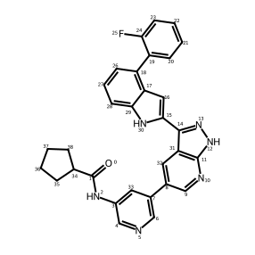 O=C(Nc1cncc(-c2cnc3[nH]nc(-c4cc5c(-c6ccccc6F)cccc5[nH]4)c3c2)c1)C1CCCC1